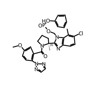 COc1ccc(-n2nccn2)c(C(=O)N2CCC[C@@]2(C)c2nc3ccc(Cl)c(C)c3n2CO[PH](=O)Oc2ccccc2)c1